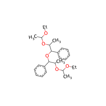 CCOC(C)OC(C)C(OC(c1ccccc1)C(C)OC(C)OCC)c1ccccc1